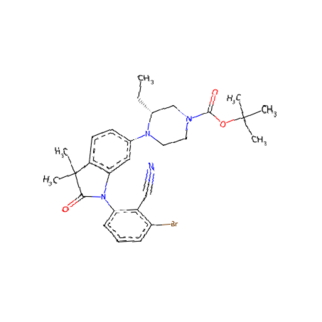 CC[C@@H]1CN(C(=O)OC(C)(C)C)CCN1c1ccc2c(c1)N(c1cccc(Br)c1C#N)C(=O)C2(C)C